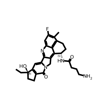 CC[C@@]1(O)CCc2c1cc1n(c2=O)Cc2c-1nc1cc(F)c(C)c3c1c2[C@@H](NC(=O)CCCN)CC3